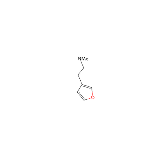 CNCCc1ccoc1